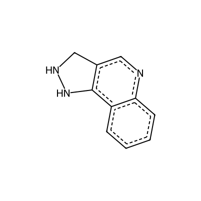 c1ccc2c3c(cnc2c1)CNN3